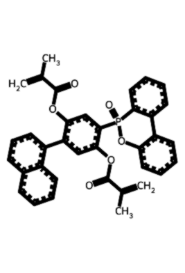 C=C(C)C(=O)Oc1cc(P2(=O)Oc3ccccc3-c3ccccc32)c(OC(=O)C(=C)C)cc1-c1cccc2ccccc12